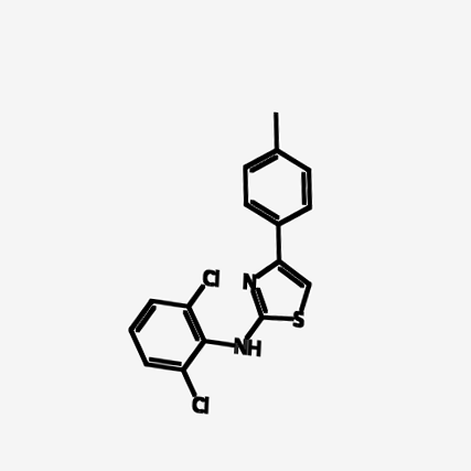 Cc1ccc(-c2csc(Nc3c(Cl)cccc3Cl)n2)cc1